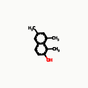 Cc1cc(C)c2c(C)c(O)ccc2c1